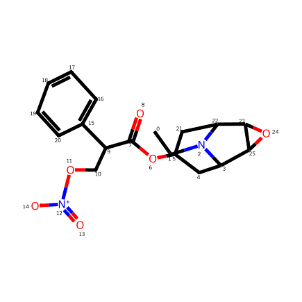 CCN1C2CC(OC(=O)C(CO[N+](=O)[O-])c3ccccc3)CC1C1OC12